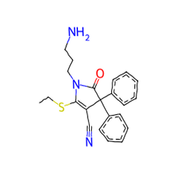 CCSC1=C(C#N)C(c2ccccc2)(c2ccccc2)C(=O)N1CCCN